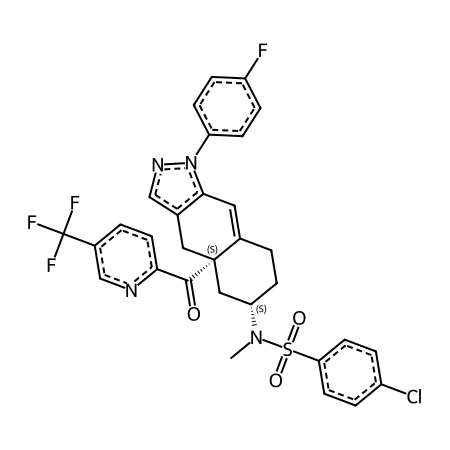 CN([C@H]1CCC2=Cc3c(cnn3-c3ccc(F)cc3)C[C@]2(C(=O)c2ccc(C(F)(F)F)cn2)C1)S(=O)(=O)c1ccc(Cl)cc1